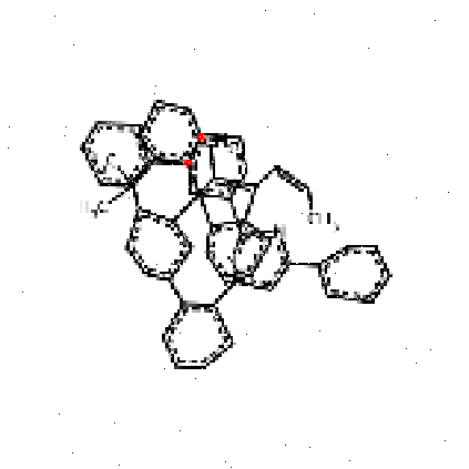 C/C=C\C1=C(C)C2(c3ccccc31)c1ccccc1C(C)(C)c1ccc(-c3ccccc3-c3cc(-c4ccccc4)nc(-c4cccc(-c5ccccc5)c4)n3)cc12